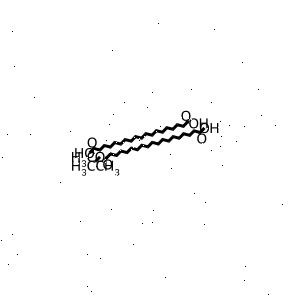 CC(C)(C)OC(=O)CCCCCCCCCCCCCCCCCC(=O)O.O=C(O)CCCCCCCCCCCCCCCCCC(=O)O